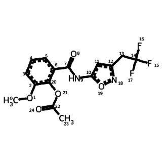 COc1cccc(C(=O)Nc2cc(CC(F)(F)F)no2)c1OC(C)=O